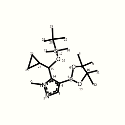 Cn1ncc(B2OC(C)(C)C(C)(C)O2)c1C(O[Si](C)(C)C(C)(C)C)C1CC1